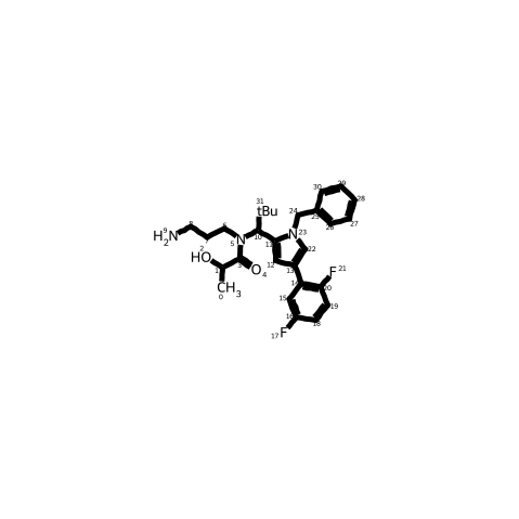 CC(O)C(=O)N(CCCN)C(c1cc(-c2cc(F)ccc2F)cn1Cc1ccccc1)C(C)(C)C